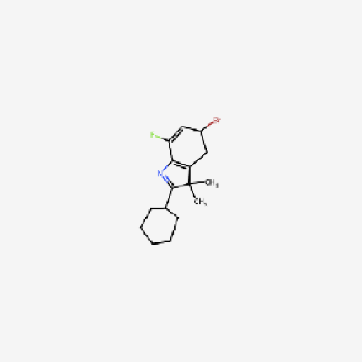 CC1(C)C(C2CCCCC2)=NC2=C1CC(Br)C=C2F